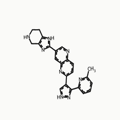 Cc1cccc(-c2n[nH]cc2-c2ccc3ncc(-c4nc5c([nH]4)CCNC5)cc3n2)n1